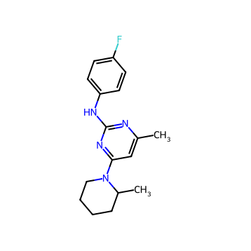 Cc1cc(N2CCCCC2C)nc(Nc2ccc(F)cc2)n1